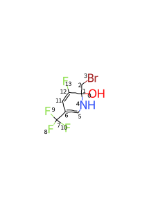 OC1(CBr)NC=C(C(F)(F)F)C=C1F